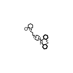 O=C1CCCCN1CCCN1CCN(C2=Nc3ccccc3Sc3ccccc32)CC1